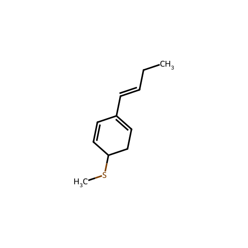 CC/C=C/C1=CCC(SC)C=C1